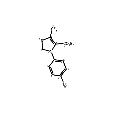 CCOC(=O)C1=C(C(F)(F)F)SCN1c1ccc(CC)cc1